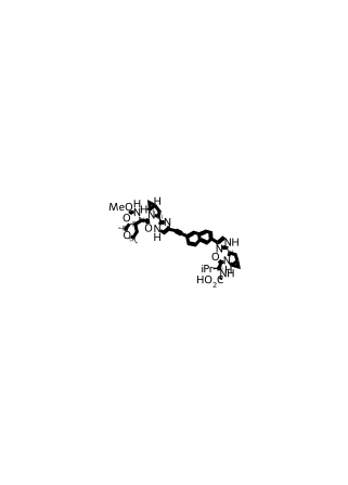 COC(=O)N[C@H](C(=O)N1[C@@H]2C[C@@H]2C[C@H]1c1nc(C#Cc2ccc3cc(-c4c[nH]c([C@@H]5CC6C[C@H]6N5C(=O)[C@@H](NC(=O)O)C(C)C)n4)ccc3c2)c[nH]1)[C@H]1C[C@@H](C)O[C@@H](C)C1